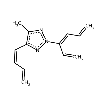 C=C/C=C\c1nn(/C(C=C)=C/C=C)nc1C